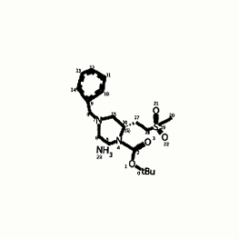 CC(C)(C)OC(=O)N1CCN(Cc2ccccc2)C[C@@H]1CCS(C)(=O)=O.N